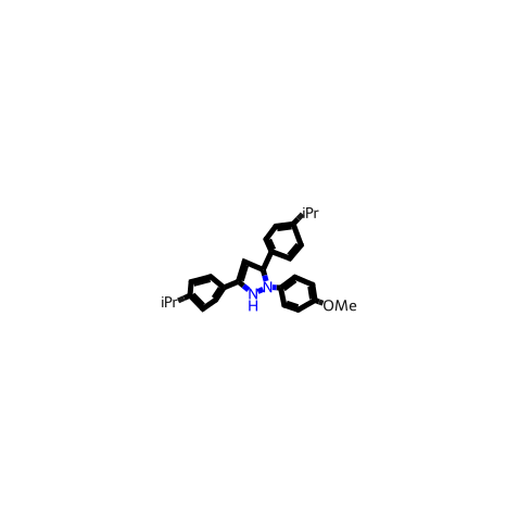 COc1ccc(N2NC(c3ccc(C(C)C)cc3)=CC2c2ccc(C(C)C)cc2)cc1